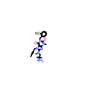 CC#CCn1c(N(C)CC(C)(C)N)nc2c1c(=O)n(Cc1ccccc1C#N)c(=O)n2C